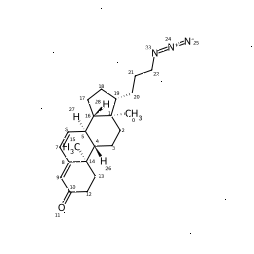 C[C@]12CC[C@H]3[C@@H](C=CC4=CC(=O)CC[C@@]43C)[C@@H]1CC[C@@H]2CCCN=[N+]=[N-]